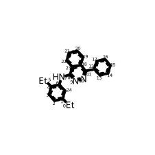 CCc1ccc(CC)c(Nc2nnc(-c3ccccc3)c3ccccc23)c1